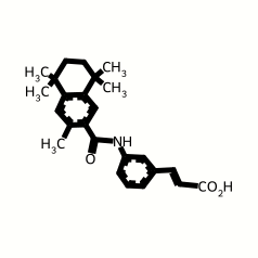 Cc1cc2c(cc1C(=O)Nc1cccc(C=CC(=O)O)c1)C(C)(C)CCC2(C)C